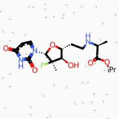 CC(C)OC(=O)[C@H](C)NCC[C@H]1O[C@@H](n2ccc(=O)[nH]c2=O)[C@](C)(F)[C@@H]1O